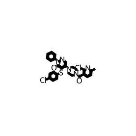 Cc1ccc(C(=O)N2CCN(c3cnn(-c4ccccc4)c(=O)c3Sc3ccc(Cl)cc3)CC2)c(Cl)n1